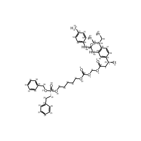 CC[C@@H](CC(=O)OCOC(=O)OCCCCCO[P@@](=O)(CCc1ccccc1)OCc1ccccc1)c1ccc(N(CC(C)C)CC(C)C)c(NC(=O)Nc2ccc(C)cc2)c1